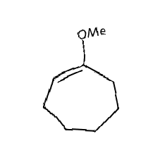 [CH2]OC1=CCCCCC1